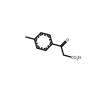 CCOC(=O)CC(=O)c1ccc(I)cc1